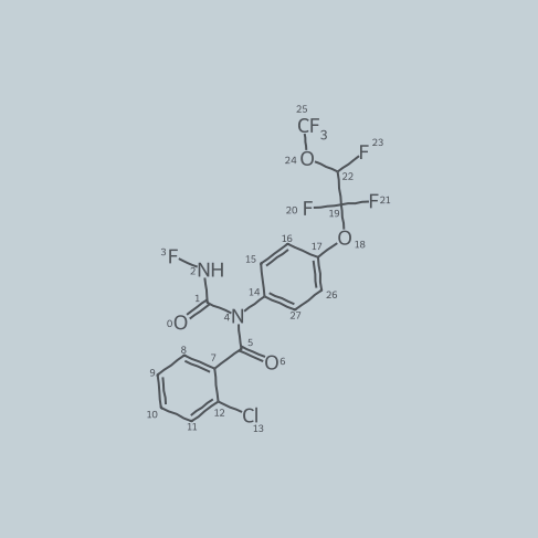 O=C(NF)N(C(=O)c1ccccc1Cl)c1ccc(OC(F)(F)C(F)OC(F)(F)F)cc1